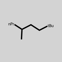 [CH2]CCC(C)CCC(C)(C)C